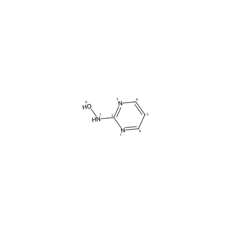 ONc1ncccn1